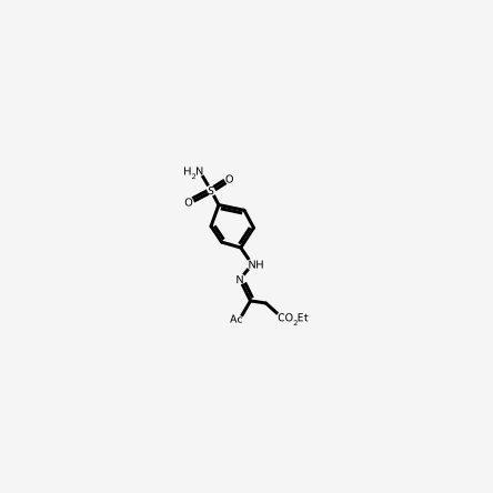 CCOC(=O)CC(=NNc1ccc(S(N)(=O)=O)cc1)C(C)=O